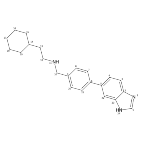 c1nc2ccc(-c3ccc(CNCCC4CCCCC4)cc3)cc2[nH]1